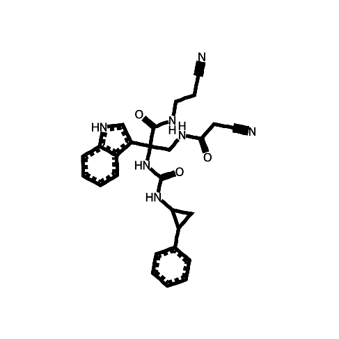 N#CCCNC(=O)C(CNC(=O)CC#N)(NC(=O)NC1CC1c1ccccc1)c1c[nH]c2ccccc12